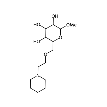 COC1OC(COCCN2CCCCC2)C(O)C(O)C1O